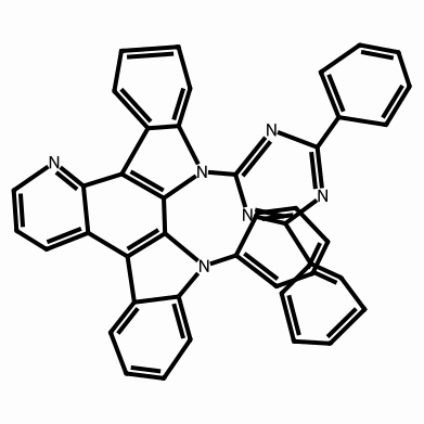 c1ccc(-c2nc(-c3ccccc3)nc(-n3c4ccccc4c4c5ncccc5c5c6ccccc6n(-c6ccccc6)c5c43)n2)cc1